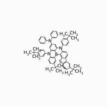 CC(C)(C)c1ccc(N2c3ccc(C(C)(C)C)cc3B3c4c2cc(N(c2ccccc2)c2ccccc2)cc4N(c2ccc(C(C)(C)C)cc2)c2ccc4c(sc5ccc(C(C)(C)C)cc54)c23)cc1